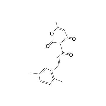 CC1=CC(=O)C(C(=O)C=Cc2cc(C)ccc2C)C(=O)O1